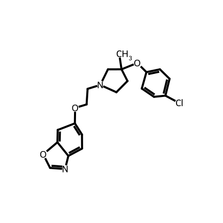 CC1(Oc2ccc(Cl)cc2)CCN(CCOc2ccc3ncoc3c2)C1